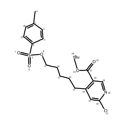 Cc1ccc(S(=O)(=O)OCCCCCc2cc(Cl)ncc2C(=O)OC(C)(C)C)cc1